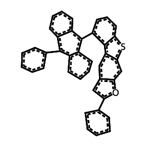 c1ccc(-c2cc3cc4c(cc3o2)sc2cccc(-c3c5ccccc5c(-c5ccccc5)c5ccccc35)c24)cc1